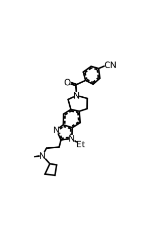 CCn1c(CCN(C)C2CCC2)nc2cc3c(cc21)CCN(C(=O)c1ccc(C#N)cc1)C3